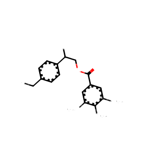 COc1cc(C(=O)OCC(C)c2ccc(CC(C)C)cc2)cc(OC)c1OC